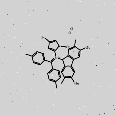 CCCC1C=C(C(C)(C)C)C=[C]1[Zr+2](=[C](c1ccc(C)cc1)c1ccc(C)cc1)[CH]1c2cc(C)c(C(C)(C)C)cc2-c2cc(C(C)(C)C)c(C)cc21.[Cl-].[Cl-]